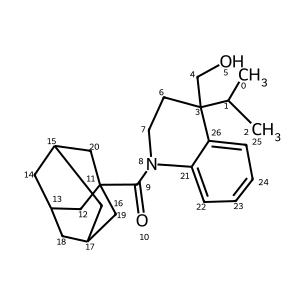 CC(C)C1(CO)CCN(C(=O)C23CC4CC(CC(C4)C2)C3)c2ccccc21